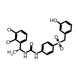 C[C@H](NC(=O)Nc1ccc(S(=O)(=O)Cc2cccc(O)c2)cc1)c1cccc(Cl)c1Cl